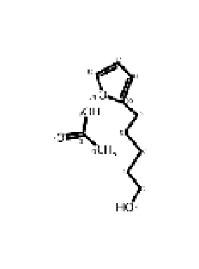 CC(=O)O.OCCCCCc1ccco1